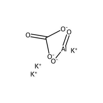 O=C([O-])[O-].[K+].[K+].[K+].[O]=[Al][O-]